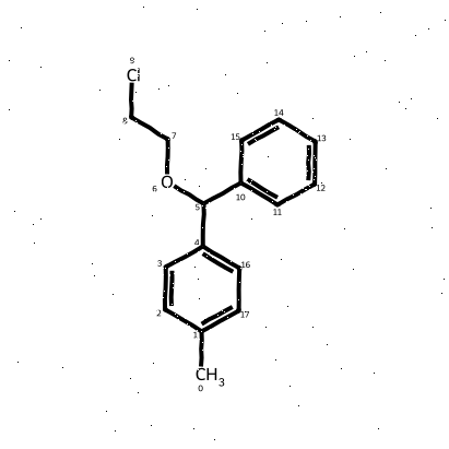 Cc1ccc(C(OCCCl)c2ccccc2)cc1